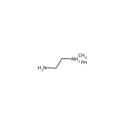 C.F.NCCN